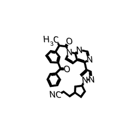 CC(C(=O)n1ccc2c(-c3cnn(C4CCC(CCC#N)C4)c3)ncnc21)c1cccc(C(=O)c2ccccc2)c1